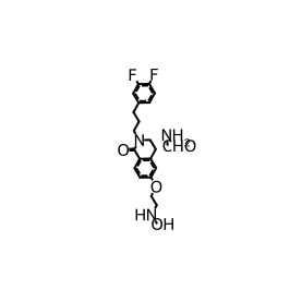 NC=O.O=C1c2ccc(OCCNO)cc2CCN1CCCc1ccc(F)c(F)c1